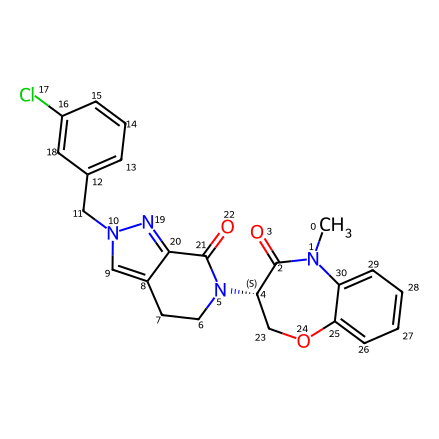 CN1C(=O)[C@@H](N2CCc3cn(Cc4cccc(Cl)c4)nc3C2=O)COc2ccccc21